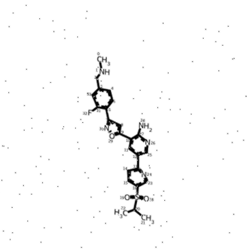 CNCc1ccc(-c2cc(-c3cc(-c4ccc(S(=O)(=O)C(C)C)cn4)cnc3N)on2)c(F)c1